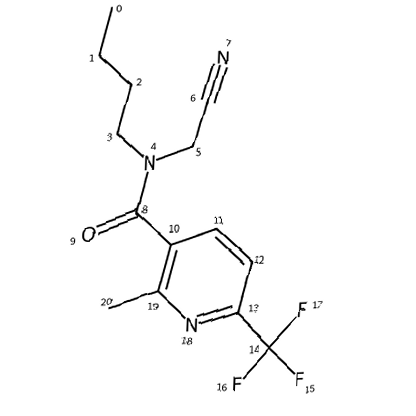 CCCCN(CC#N)C(=O)c1ccc(C(F)(F)F)nc1C